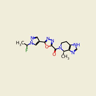 CC(F)n1cc(-c2nnc(C(=O)N3CCc4[nH]cnc4[C@H]3C)o2)cn1